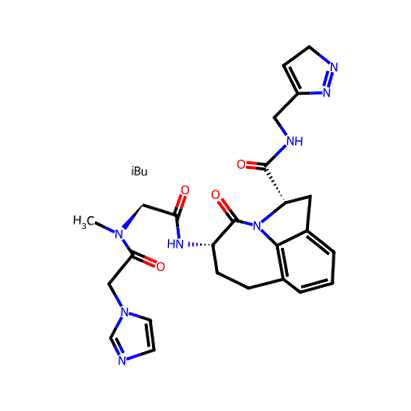 CC[C@H](C)[C@@H](C(=O)N[C@H]1CCc2cccc3c2N(C1=O)[C@H](C(=O)NCC1=CCN=N1)C3)N(C)C(=O)Cn1ccnc1